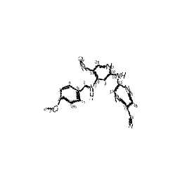 COc1ccc(CNc2cc(Nc3cnc(C#N)cn3)ncc2N=O)cc1